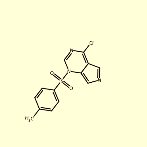 Cc1ccc(S(=O)(=O)n2cnc(Cl)c3cncc2-3)cc1